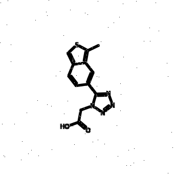 Cc1scc2ccc(-c3nnnn3CC(=O)O)cc12